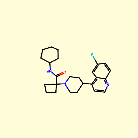 O=C(NC1CCCCC1)C1(N2CCC(c3ccnc4ccc(F)cc34)CC2)CCC1